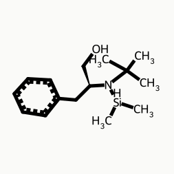 C[SiH](C)N([C@H](CO)Cc1ccccc1)C(C)(C)C